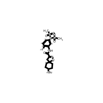 CC(C)(C)C1CCC2(CC1)CC(C(=O)Nc1cc(N(S(C)(=O)=O)S(C)(=O)=O)ccc1F)=NO2